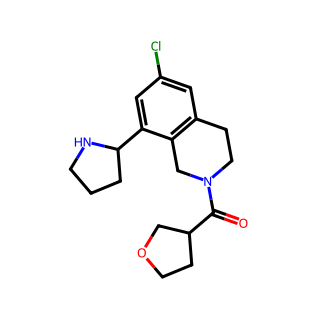 O=C(C1CCOC1)N1CCc2cc(Cl)cc(C3CCCN3)c2C1